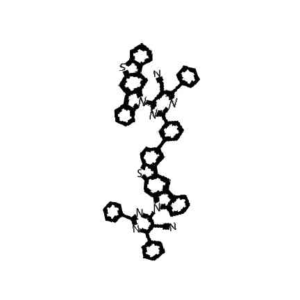 N#Cc1c(-c2ccccc2)nc(-c2ccccc2)nc1-n1c2ccccc2c2cc3c(cc21)sc1ccc(-c2cccc(-c4nc(-c5ccccc5)c(C#N)c(-n5c6ccccc6c6cc7sc8ccccc8c7cc65)n4)c2)cc13